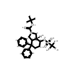 CC(C)(C)OC(=O)N1CC2[C@H](C1)C(OS(=O)(=O)C(F)(F)F)CCC2(c1ccccc1)c1ccccc1